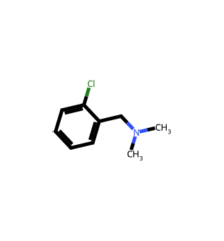 CN(C)Cc1cc[c]cc1Cl